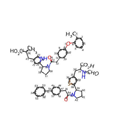 Cc1ccccc1Oc1ccc(CC(=O)N2CCCC2c2cc(CC(C)C(=O)O)c[nH]2)cc1.O=CNC(Cc1csc(C2CCCN2C(=O)Cc2ccc(-c3ccccc3)cc2)c1)C(=O)O